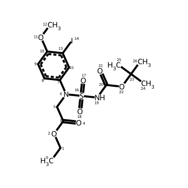 CCOC(=O)CN(c1ccc(OC)c(I)c1)S(=O)(=O)NC(=O)OC(C)(C)C